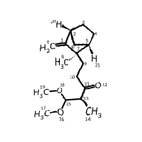 C=C1[C@@H]2CC[C@@H](C2)[C@@]1(C)CCC(=O)C(C)C(OC)OC